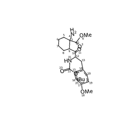 COC(=O)C1(N)CCCCC1C(=O)C(Cc1ccc(OC)cc1)NC(=O)OC(C)(C)C